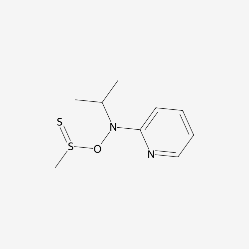 CC(C)N(OS(C)=S)c1ccccn1